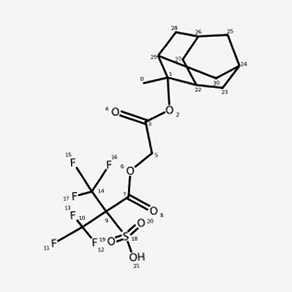 CC1(OC(=O)COC(=O)C(C(F)(F)F)(C(F)(F)F)S(=O)(=O)O)C2CC3CC(C2)CC1C3